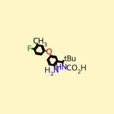 Cc1cc(Oc2ccc(N)c(C(NC(=O)O)C(C)(C)C)c2)ccc1F